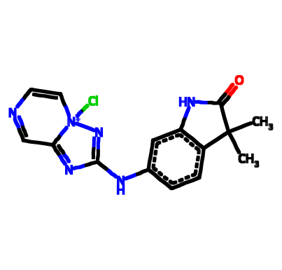 CC1(C)C(=O)Nc2cc(NC3=N[N+]4(Cl)C=CN=CC4=N3)ccc21